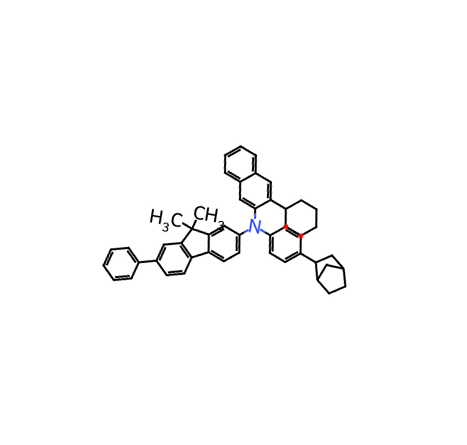 CC1(C)c2cc(-c3ccccc3)ccc2-c2ccc(N(c3ccc(C4CC5CCC4C5)cc3)c3cc4ccccc4cc3C3CCCCC3)cc21